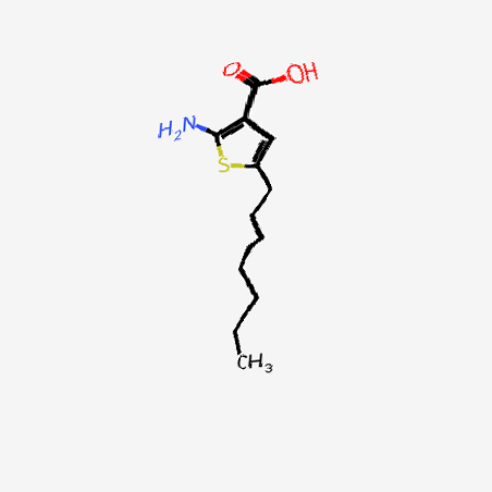 CCCCCCCc1cc(C(=O)O)c(N)s1